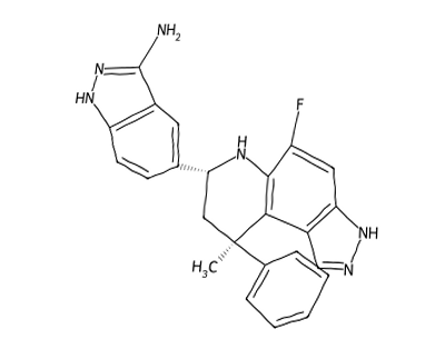 C[C@]1(c2ccccc2)C[C@H](c2ccc3[nH]nc(N)c3c2)Nc2c(F)cc3[nH]ncc3c21